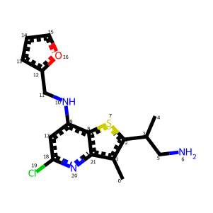 Cc1c(C(C)CN)sc2c(NCc3ccco3)cc(Cl)nc12